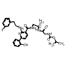 C=C(C)OC(=O)NCC(=O)N[C@H](C)CNC(=O)c1ccc(-c2ccccc2C#N)nc1NCCc1cccc(F)c1